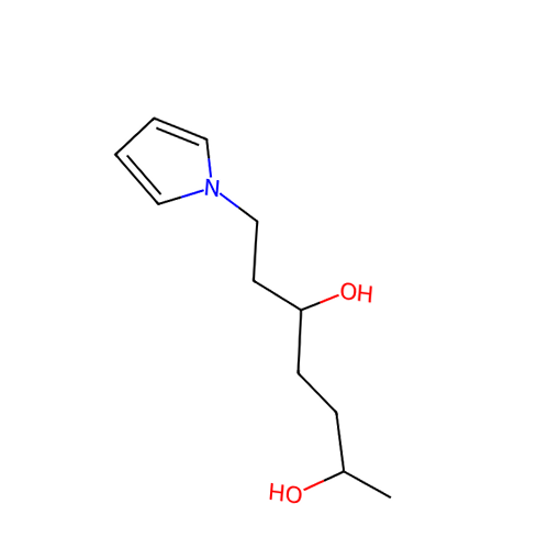 CC(O)CCC(O)CCn1cccc1